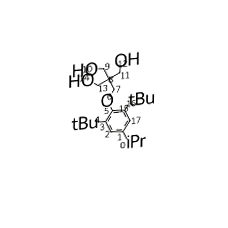 CC(C)c1cc(C(C)(C)C)c(OCC(CO)(CO)CO)c(C(C)(C)C)c1